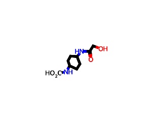 O=C(O)NC1CCC(NC(=O)CO)CC1